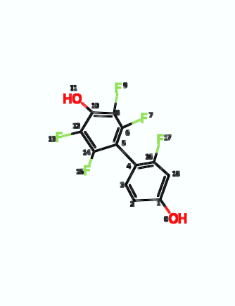 Oc1ccc(-c2c(F)c(F)c(O)c(F)c2F)c(F)c1